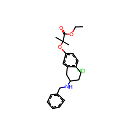 CCOC(=O)C(C)(C)Oc1ccc2c(c1)CC(NCc1ccccc1)CC2.Cl